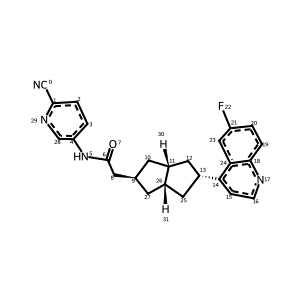 N#Cc1ccc(NC(=O)C[C@H]2C[C@@H]3C[C@H](c4ccnc5ccc(F)cc45)C[C@@H]3C2)cn1